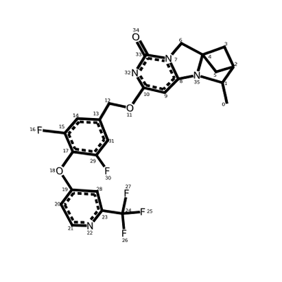 CC1C2CC3(C2)Cn2c(cc(OCc4cc(F)c(Oc5ccnc(C(F)(F)F)c5)c(F)c4)nc2=O)N13